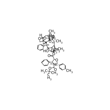 CO[C@H]1C[C@H]2OC[C@@]2(OC(C)=O)[C@H]2[C@H](c3ccccc3)[C@]3(O)C[C@H](OC(=O)C4O[C@H](c5ccc(C)cc5)N(C(=O)OC(C)(C)C)[C@H]4c4ccccc4)C(C)=C([C@@H](C)C(=O)[C@]12C)C3(C)C